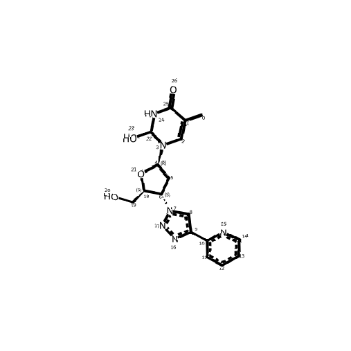 CC1=CN([C@H]2C[C@H](n3cc(-c4ccccn4)nn3)[C@@H](CO)O2)C(O)NC1=O